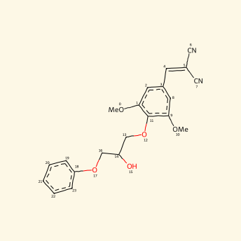 COc1cc(C=C(C#N)C#N)cc(OC)c1OCC(O)COc1ccccc1